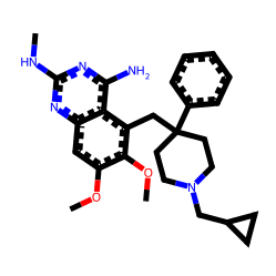 CNc1nc(N)c2c(CC3(c4ccccc4)CCN(CC4CC4)CC3)c(OC)c(OC)cc2n1